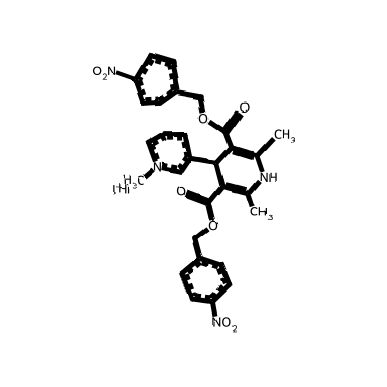 CC1=C(C(=O)OCc2ccc([N+](=O)[O-])cc2)C(c2ccc[n+](C)c2)C(C(=O)OCc2ccc([N+](=O)[O-])cc2)=C(C)N1.I.[I-]